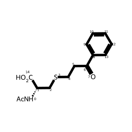 CC(=O)N[C@@H](CSCCC(=O)c1ccccc1)C(=O)O